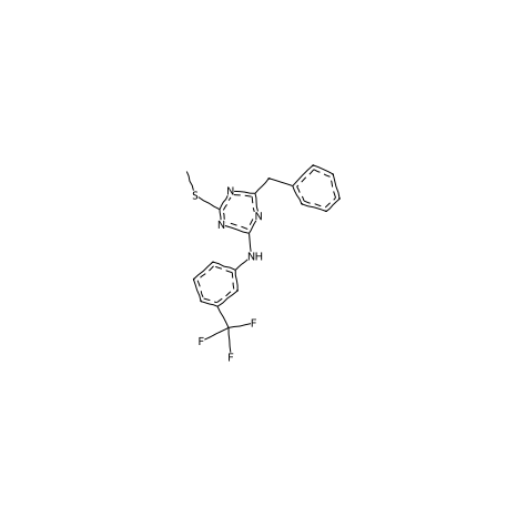 CSc1nc(Cc2ccccc2)nc(Nc2cccc(C(F)(F)F)c2)n1